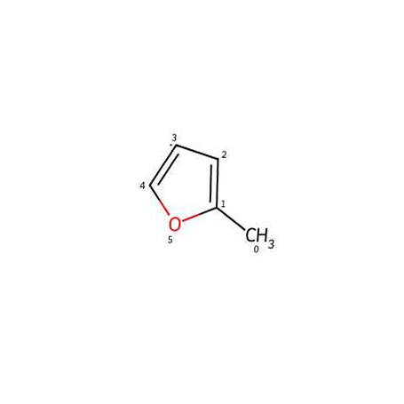 Cc1c[c]co1